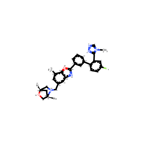 Cn1cnnc1-c1cc(F)ccc1-c1cccc(-c2nc3cc(CN4C[C@@H]5C[C@H]4CO5)cc(C(F)(F)F)c3o2)c1